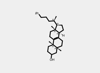 CC(C)CCC[C@@H](C)[C@H]1CC[C@H]2C3=C(CC[C@]12C)[C@@]1(C)CCC(O)C[C@@]1(C)CC3